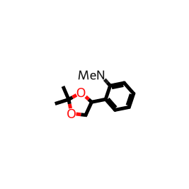 CNc1ccccc1C1COC(C)(C)O1